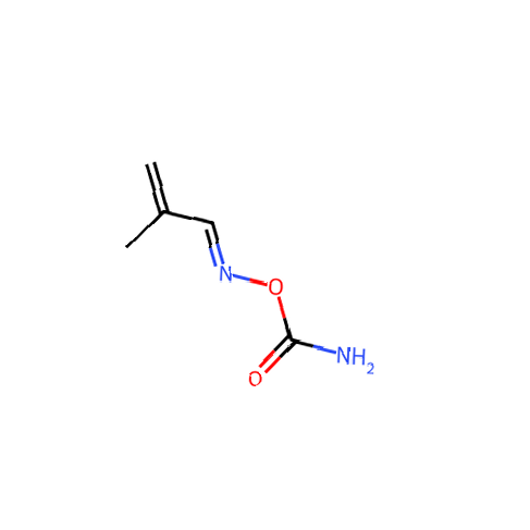 C=C(C)C=NOC(N)=O